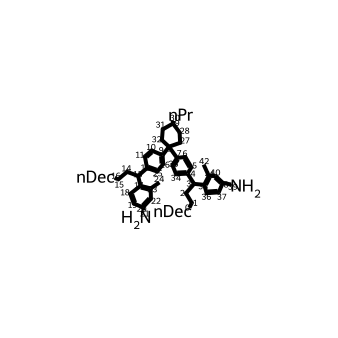 CCCCCCCCCCCCC(c1ccc(C2(c3ccc(C(CCCCCCCCCCCC)c4ccc(N)cc4C)cc3)CCC(CCC)CC2)cc1)c1ccc(N)cc1C